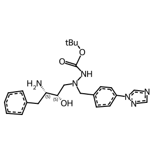 CC(C)(C)OC(=O)NN(Cc1ccc(-n2cncn2)cc1)C[C@H](O)[C@@H](N)Cc1ccccc1